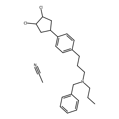 CC#N.CCCN(CCCc1ccc(C2CC(Cl)C(Cl)C2)cc1)Cc1ccccc1